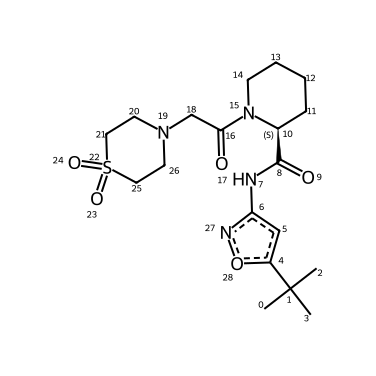 CC(C)(C)c1cc(NC(=O)[C@@H]2CCCCN2C(=O)CN2CCS(=O)(=O)CC2)no1